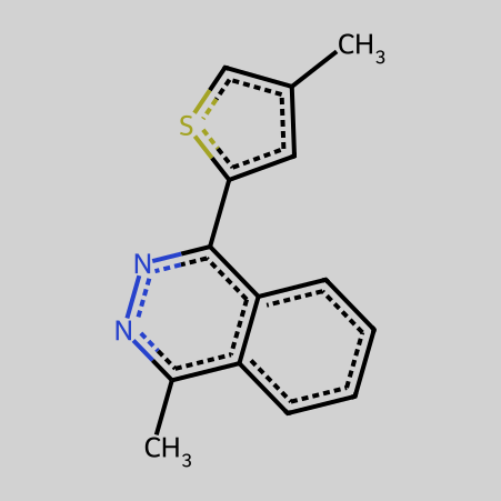 Cc1csc(-c2nnc(C)c3ccccc23)c1